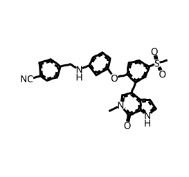 Cn1cc(-c2cc(S(C)(=O)=O)ccc2Oc2cccc(NCc3ccc(C#N)cc3)c2)c2cc[nH]c2c1=O